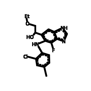 CCOCC(O)c1cc2[nH]cnc2c(F)c1Nc1ccc(C)cc1Cl